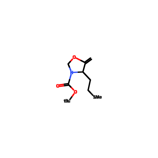 C=C1OCN(C(=O)OC(C)(C)C)C1CCSC